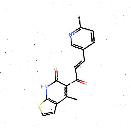 Cc1ccc(/C=C/C(=O)c2c(C)c3ccsc3[nH]c2=O)cn1